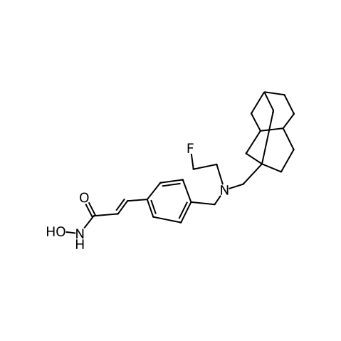 O=C(/C=C/c1ccc(CN(CCF)CC23CCC4CCC(CC4C2)C3)cc1)NO